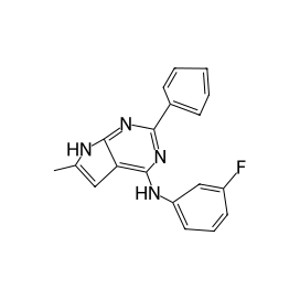 Cc1cc2c(Nc3cccc(F)c3)nc(-c3ccccc3)nc2[nH]1